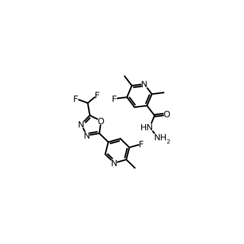 Cc1nc(C)c(C(=O)NN)cc1F.Cc1ncc(-c2nnc(C(F)F)o2)cc1F